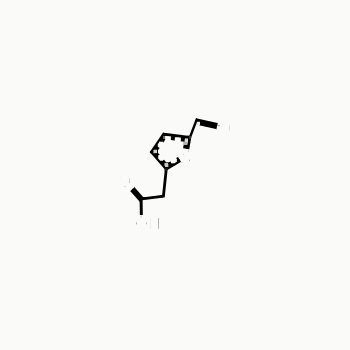 O=Cc1ccc(CC(=O)O)s1